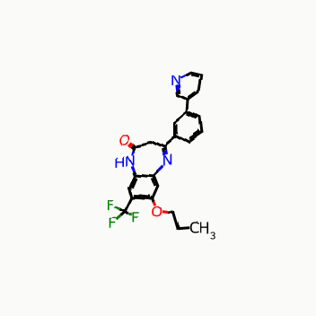 CCCOc1cc2c(cc1C(F)(F)F)NC(=O)CC(c1cccc(-c3cccnc3)c1)=N2